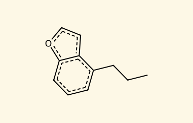 CCCc1cccc2occc12